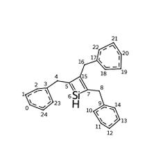 c1ccc(CC2=[SiH]C(Cc3ccccc3)=C2Cc2ccccc2)cc1